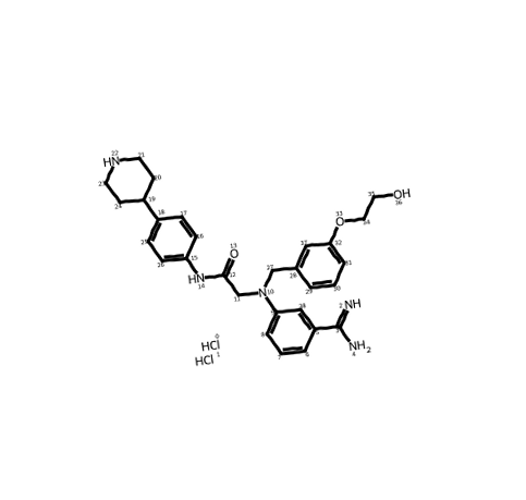 Cl.Cl.N=C(N)c1cccc(N(CC(=O)Nc2ccc(C3CCNCC3)cc2)Cc2cccc(OCCO)c2)c1